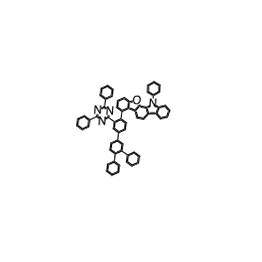 c1ccc(-c2nc(-c3ccccc3)nc(-c3cc(-c4ccc(-c5ccccc5)c(-c5ccccc5)c4)ccc3-c3cccc4oc5c(ccc6c7ccccc7n(-c7ccccc7)c65)c34)n2)cc1